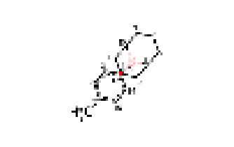 Cc1ccc(B2C3CCCC2CCC3)cc1